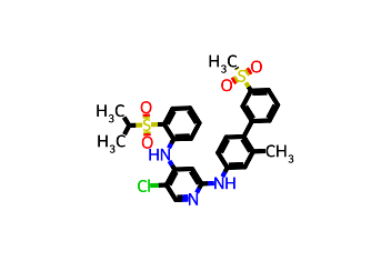 Cc1cc(Nc2cc(Nc3ccccc3S(=O)(=O)C(C)C)c(Cl)cn2)ccc1-c1cccc(S(C)(=O)=O)c1